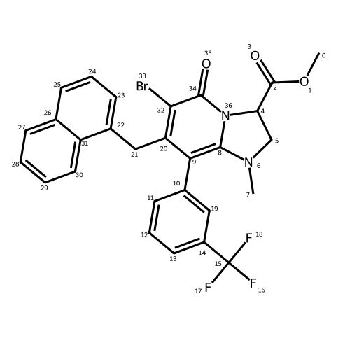 COC(=O)C1CN(C)c2c(-c3cccc(C(F)(F)F)c3)c(Cc3cccc4ccccc34)c(Br)c(=O)n21